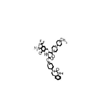 CN1CCC(N2CCN(C(=O)[C@@H](Cc3cc(Cl)c(N)c(C(F)(F)F)c3)NC(=O)ON3CCC(N4CCc5ccccc5NC4=O)CC3)CC2)CC1